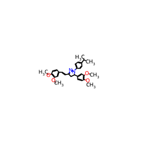 COc1ccc(C=CC2=NN(c3ccc(C(C)C)cc3)C(c3ccc(OC)c(OC)c3)C2)cc1OC